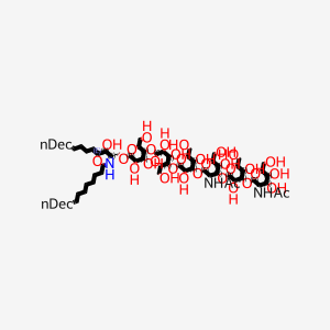 CCCCCCCCCCCCC/C=C/[C@@H](O)[C@H](CO[C@@H]1OC(CO)[C@@H](O[C@@H]2OC(CO)[C@H](O[C@@H]3OC(CO)[C@H](O)[C@H](O[C@@H]4OC(CO)[C@H](O)[C@H](O[C@@H]5OC(CO)[C@H](O)[C@H](O[C@H]6OC(CO)[C@H](O)[C@H](O)C6NC(C)=O)C5O)C4NC(C)=O)C3O)[C@H](O)C2O)[C@H](O)C1O)NC(=O)CCCCCCCCCCCCCCCCC